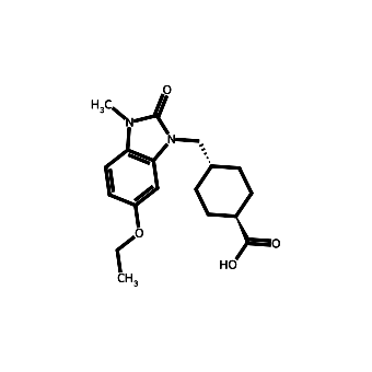 CCOc1ccc2c(c1)n(C[C@H]1CC[C@H](C(=O)O)CC1)c(=O)n2C